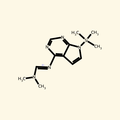 CN(C)/C=N/c1ncnc2c1ccn2[Si](C)(C)C